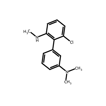 CNc1[c]ccc(Cl)c1-c1cccc(N(C)C)c1